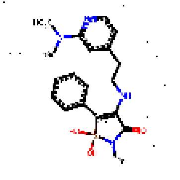 CC(C)N1C(=O)C(NCCc2ccnc(N(C(=O)O)C(C)(C)C)c2)=C(c2ccccc2)S1(O)O